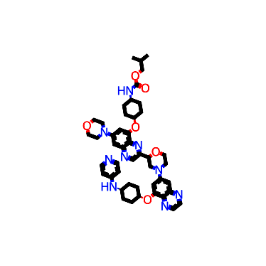 CC(C)COC(=O)N[C@H]1CC[C@@H](Oc2cc(N3CCOCC3)cc3ncc(C4CN(c5cc(O[C@H]6CC[C@@H](Nc7ccncc7)CC6)c6nccnc6c5)CCO4)nc23)CC1